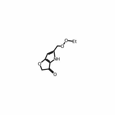 CCOOCc1cc2c([nH]1)C(=O)CO2